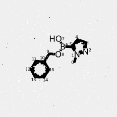 Cn1nccc1B(O)OCc1ccccc1